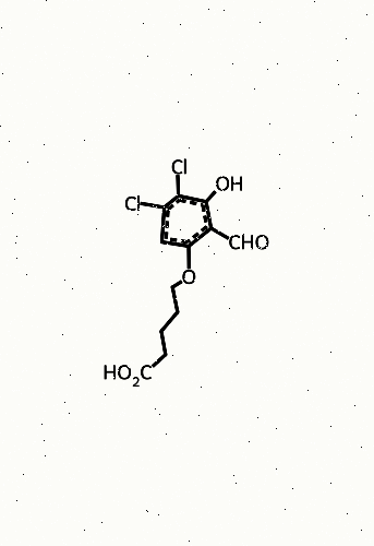 O=Cc1c(OCCCCC(=O)O)cc(Cl)c(Cl)c1O